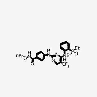 CCCONC(=O)c1ccc(Nc2ncc(C(F)(F)F)c(Nc3ccccc3P(=O)(CC)CC)n2)cc1